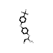 CC([C]=O)Oc1ccc(Oc2ccc(C(F)(F)F)cc2)cc1